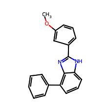 COc1cccc(-c2nc3c(-c4ccccc4)cccc3[nH]2)c1